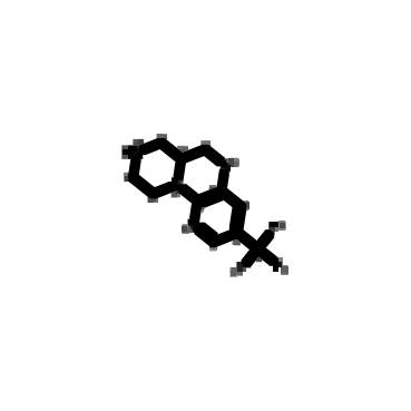 FC(F)(F)c1cnc2c(c1)SCC1CNCCN21